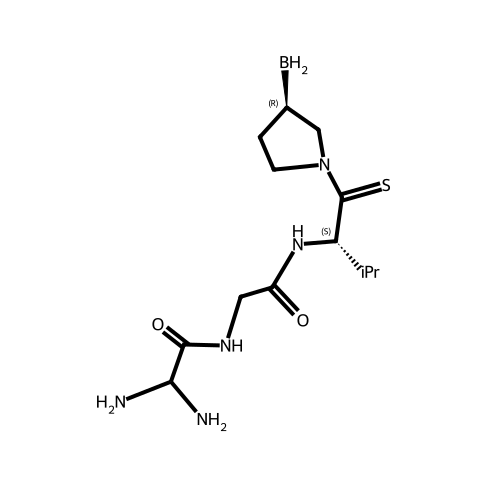 B[C@@H]1CCN(C(=S)[C@@H](NC(=O)CNC(=O)C(N)N)C(C)C)C1